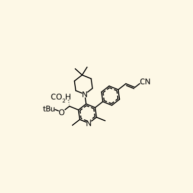 Cc1nc(C)c([C@H](OC(C)(C)C)C(=O)O)c(N2CCC(C)(C)CC2)c1-c1ccc(C=CC#N)cc1